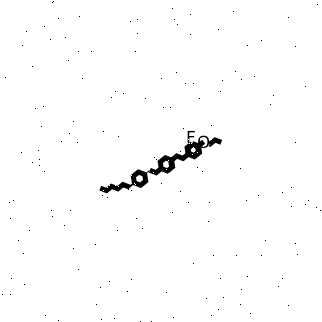 CCCCCC[C@H]1CC[C@H](CCC2CC=C(CCc3ccc(OCCC)c(F)c3)CC2)CC1